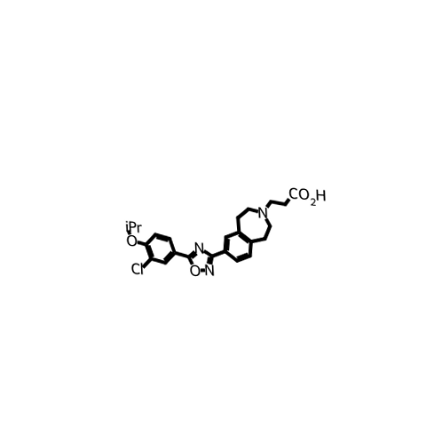 CC(C)Oc1ccc(-c2nc(-c3ccc4c(c3)CCN(CCC(=O)O)CC4)no2)cc1Cl